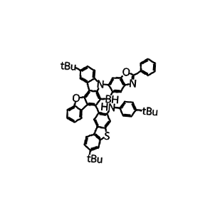 CC(C)(C)c1ccc(Nc2cc3sc4cc(C(C)(C)C)ccc4c3cc2-c2c3c4c(c5cc(C(C)(C)C)ccc5n4-c4cc5oc(-c6ccccc6)nc5cc4B3)c3oc4ccccc4c23)cc1